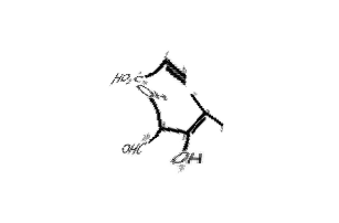 C=CC(=O)O.CC(C)=C(O)C(O)C=O